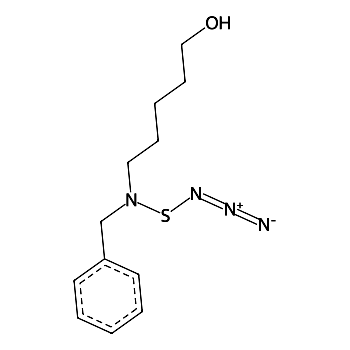 [N-]=[N+]=NSN(CCCCCO)Cc1ccccc1